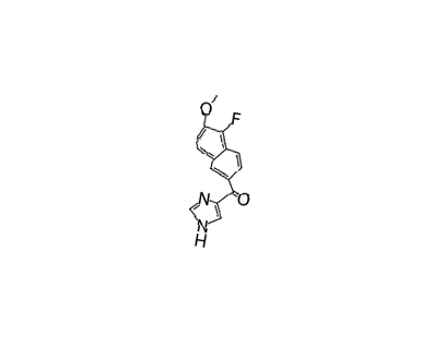 COc1ccc2cc(C(=O)c3c[nH]cn3)ccc2c1F